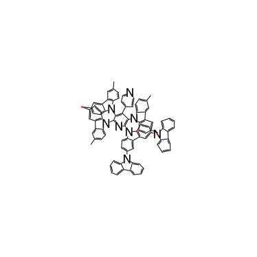 Cc1ccc2c(c1)c1cc(C)ccc1n2-c1nc(-n2c3ccc(-n4c5ccccc5c5ccccc54)cc3c3cc(-n4c5ccccc5c5ccccc54)ccc32)c(-n2c3ccc(C)cc3c3cc(C)ccc32)c(-c2ccncc2)c1-n1c2ccc(C)cc2c2cc(C)ccc21